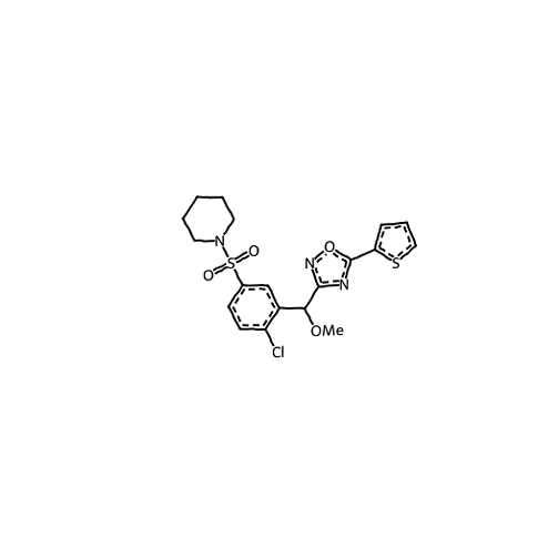 COC(c1noc(-c2cccs2)n1)c1cc(S(=O)(=O)N2CCCCC2)ccc1Cl